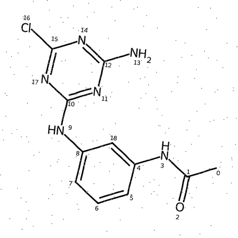 CC(=O)Nc1[c]ccc(Nc2nc(N)nc(Cl)n2)c1